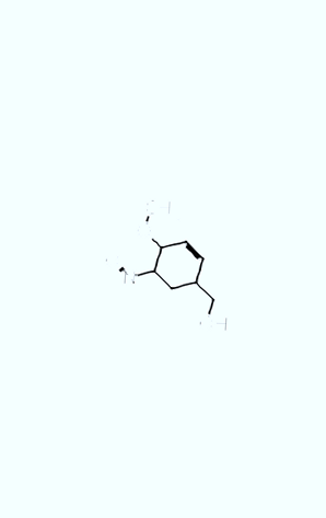 COC1C=CC(CO)CC1N=O